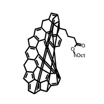 CCCCCCCCOC(=O)CCCC1(c2ccccc2)C23C4=CC5Cc6cc7c8c9c(cc%10c%11c%12c%13c(cc%14cc(c%15c(c%16c(c%17c(c6c8c%17c(c9%11)c%16%12)C512)C%153)c%14%13)=C4)C%10)C7